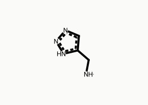 [NH]Cc1cnn[nH]1